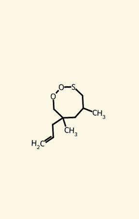 C=CCC1(C)COOSCC(C)C1